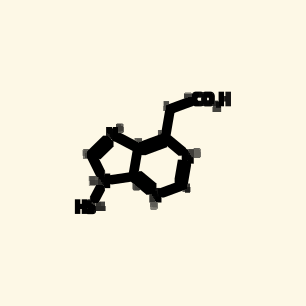 O=C(O)Cc1ncnc2c1ncn2S